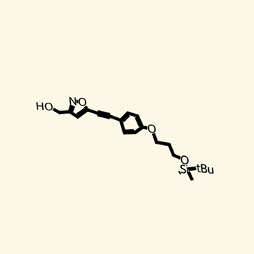 CC(C)(C)[Si](C)(C)OCCCOc1ccc(C#Cc2cc(CO)no2)cc1